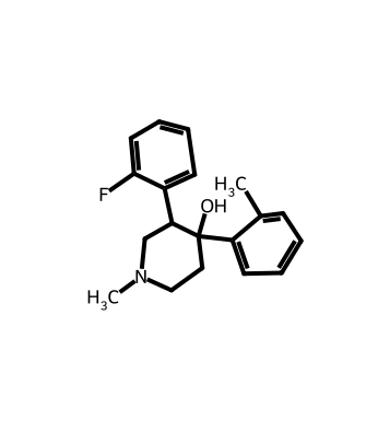 Cc1ccccc1C1(O)CCN(C)CC1c1ccccc1F